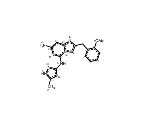 COc1ccccc1Cc1cn2c(Nc3cc(C)[nH]n3)nc(N)cc2n1